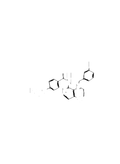 CC(Nc1nccc2c1N(Cc1cccc(F)c1)CCO2)c1ccc(C(=O)O)cc1